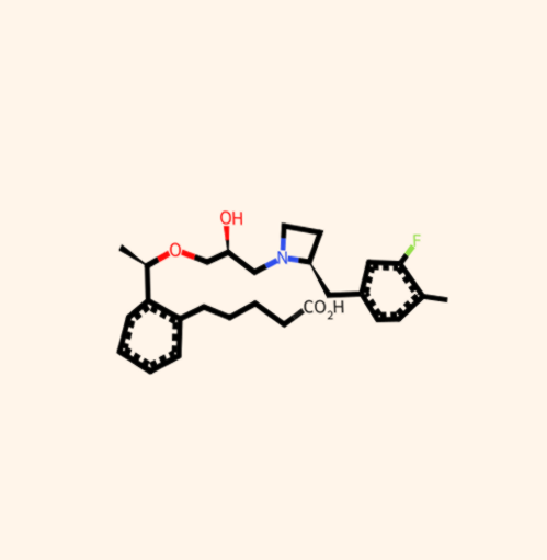 Cc1ccc(C[C@@H]2CCN2C[C@H](O)CO[C@H](C)c2ccccc2CCCCC(=O)O)cc1F